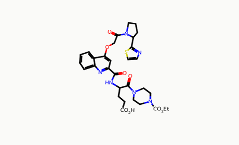 CCOC(=O)N1CCN(C(=O)C(CCC(=O)O)NC(=O)c2cc(OCC(=O)N3CCCC3c3nccs3)c3ccccc3n2)CC1